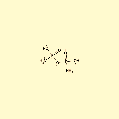 NP(=O)(O)OP(N)(=O)O